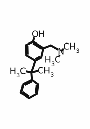 CN(C)Cc1cc(C(C)(C)c2ccccc2)ccc1O